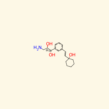 NC[C@@H](O)[C@@H](O)c1cccc(C=CC2(O)CCCCC2)c1